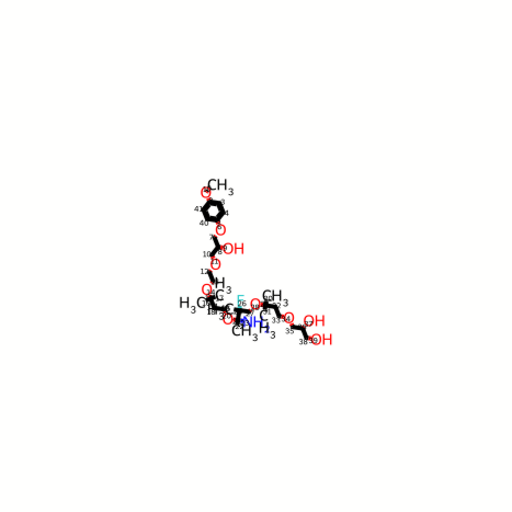 COc1ccc(OCC(O)COCCOC(C)(C)CCOC(C)(N)C(C)(F)COC(C)(C)CCOCC(O)CO)cc1